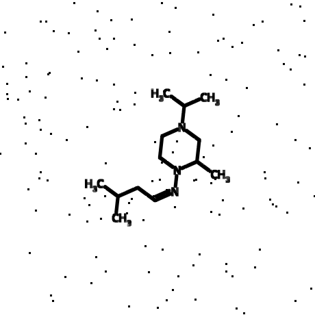 CC(C)C/C=N\N1CCN(C(C)C)CC1C